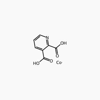 O=C(O)c1cccnc1C(=O)O.[Co]